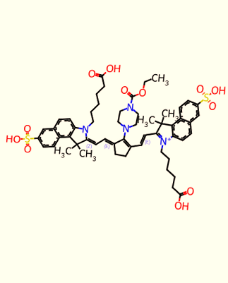 CCOC(=O)N1CCN(C2=C(/C=C/C3=[N+](CCCCCC(=O)O)c4ccc5cc(S(=O)(=O)O)ccc5c4C3(C)C)CC/C2=C\C=C2/N(CCCCCC(=O)O)c3ccc4cc(S(=O)(=O)O)ccc4c3C2(C)C)CC1